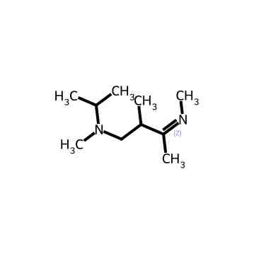 C/N=C(/C)C(C)CN(C)C(C)C